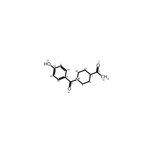 CC(=O)C1CCN(C(=O)c2ccc(O)cc2)CC1